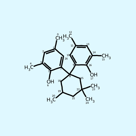 Cc1cc(C)c(O)c(C2(c3cc(C)cc(C)c3O)CC(C)CC(C)(C)C2)c1